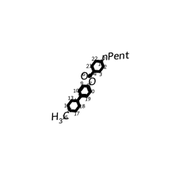 CCCCCC1CCC(C(=O)Oc2ccc(C3CCC(C)CC3)cc2)CC1